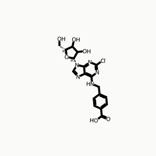 O=C(O)c1ccc(CNc2nc(Cl)nc3c2ncn3[C@@H]2O[C@H](CO)C(O)C2O)cc1